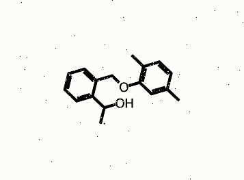 [CH2]C(O)c1ccccc1COc1cc(C)ccc1C